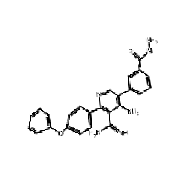 N=C(N)c1c(-c2ccc(Oc3ccccc3)cc2)ncc(-c2cccc(C(=O)NN)c2)c1N